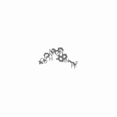 Cc1ccc2c(NCCCC(F)(F)F)cccc2c1Oc1ncccc1-c1ccnc(N[C@H]2CCCN(C(=O)OC(C)(C)C)C2)n1